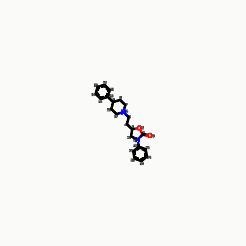 O=C1OC(CCN2CCC(c3ccccc3)CC2)CN1c1ccccc1